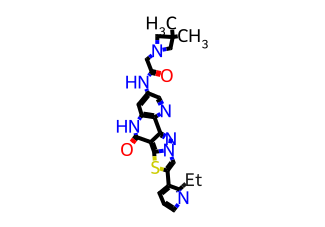 CCc1ncccc1-c1cn2nc3c4ncc(NC(=O)CN5CC(C)(C)C5)cc4[nH]c(=O)c3c2s1